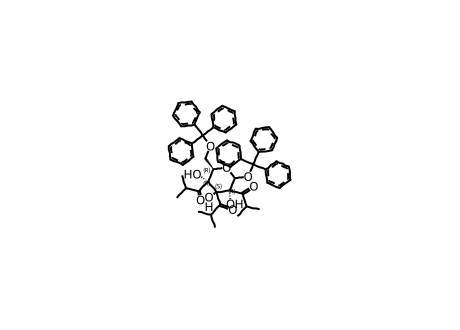 CC(C)C(=O)[C@]1(O)[C@@](O)(C(=O)C(C)C)[C@@H](COC(c2ccccc2)(c2ccccc2)c2ccccc2)OC(OC(c2ccccc2)(c2ccccc2)c2ccccc2)[C@@]1(O)C(=O)C(C)C